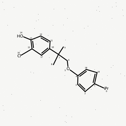 CC(C)c1ccc(OCC(C)(C)c2ccc(O)c(Cl)c2)cc1